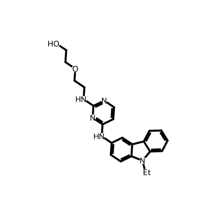 CCn1c2ccccc2c2cc(Nc3ccnc(NCCOCCO)n3)ccc21